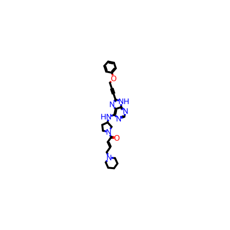 O=C(/C=C/CN1CCCCC1)N1CCC(Nc2ncnc3[nH]c(C#CCOc4ccccc4)nc23)C1